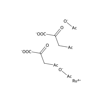 CC(=O)CC(=O)C(=O)[O-].CC(=O)CC(=O)C(=O)[O-].CC(=O)[O-].CC(=O)[O-].[Ru+4]